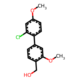 COc1ccc(-c2ccc(CO)c(OC)c2)c(Cl)c1